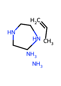 C1CNCCN1.C=CC.N.N